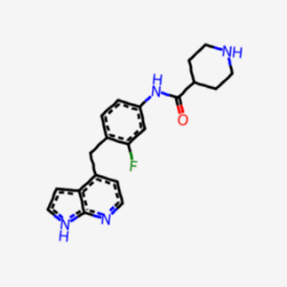 O=C(Nc1ccc(Cc2ccnc3[nH]ccc23)c(F)c1)C1CCNCC1